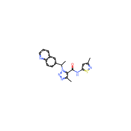 Cc1cc(NC(=O)c2c(C)nnn2C(C)c2ccc3ncccc3c2)sn1